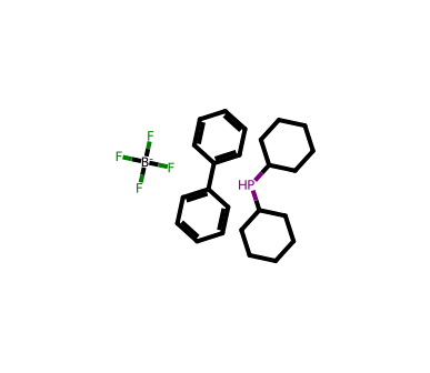 C1CCC(PC2CCCCC2)CC1.F[B-](F)(F)F.c1ccc(-c2ccccc2)cc1